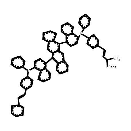 CCCCCC(C)C=Cc1ccc(N(c2ccccc2)c2ccc(-c3c4ccccc4cc4c(-c5ccc(N(c6ccccc6)c6ccc(C=Cc7ccccc7)cc6)c6ccccc56)c5ccccc5cc34)c3ccccc23)cc1